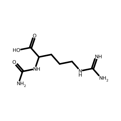 N=C(N)NCCCC(NC(N)=O)C(=O)O